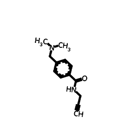 C#CCNC(=O)c1ccc(CN(C)C)cc1